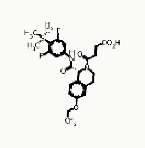 CS(C)(C)c1c(F)cc(NC(=O)[C@H]2c3ccc(OCC(F)(F)F)cc3CCN2C(=O)CCC(=O)O)cc1F